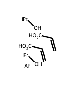 C=CC(=O)O.C=CC(=O)O.CC(C)O.CC(C)O.[Al]